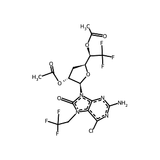 CC(=O)O[C@H]([C@@H]1C[C@@H](OC(C)=O)[C@H](n2c(=O)n(CC(F)(F)F)c3c(Cl)nc(N)nc32)O1)C(F)(F)F